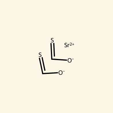 [O-]C=S.[O-]C=S.[Sr+2]